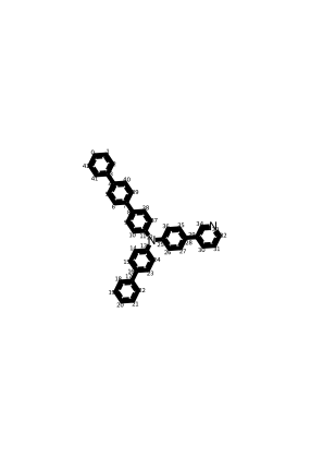 c1ccc(-c2ccc(-c3ccc(N(c4ccc(-c5ccccc5)cc4)c4ccc(-c5cccnc5)cc4)cc3)cc2)cc1